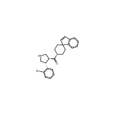 O=C([C@@H]1CNC[C@H]1c1ccccc1Br)N1CCC2(C=Cc3ccccc32)CC1